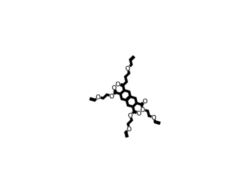 C=CCOCCCC(=O)C1CC2=C(CC1C(=O)OCCOC=C)CC(C(=O)OCCOC=C)C(C(=O)OCCOC=C)C2